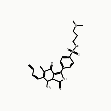 C=C/C=C\C1=C(C)C(=O)C2=C(c3ccc(S(=O)(=O)NCCCN(C)C)cc3)NC(=O)C2C1N